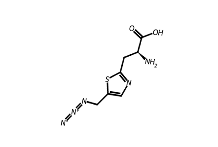 [N-]=[N+]=NCc1cnc(C[C@H](N)C(=O)O)s1